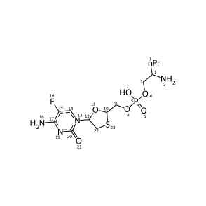 CCCC(N)COP(=O)(O)OCC1OC(n2cc(F)c(N)nc2=O)CS1